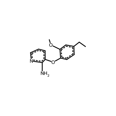 CCc1ccc(Oc2cccnc2N)c(OC)c1